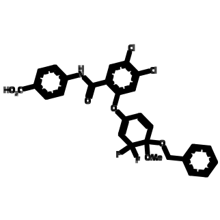 COC1(OCc2ccccc2)C=CC(Oc2cc(Cl)c(Cl)cc2C(=O)Nc2ccc(C(=O)O)cc2)=CC1(F)F